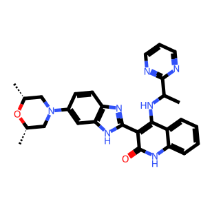 CC(Nc1c(-c2nc3ccc(N4C[C@@H](C)O[C@@H](C)C4)cc3[nH]2)c(=O)[nH]c2ccccc12)c1ncccn1